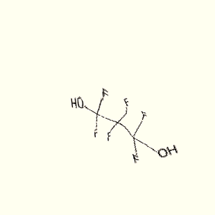 OC(F)(F)C(F)(F)C(O)(F)F